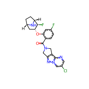 O=C(c1ccc(F)cc1O[C@@H]1C[C@@H]2CC[C@@H](N2)[C@H]1F)N1Cc2nn3cc(Cl)cnc3c2C1